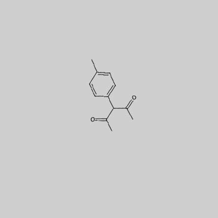 CC(=O)C(C(C)=O)c1ccc(C)cc1